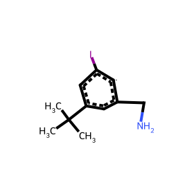 CC(C)(C)c1cc(I)[c]c(CN)c1